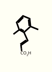 Cc1cccc(C)c1/C=C/C(=O)O